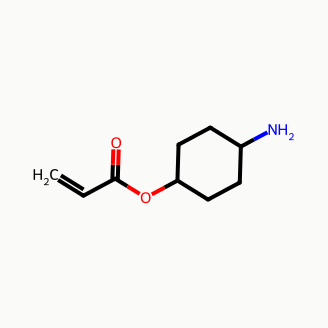 C=CC(=O)OC1CCC(N)CC1